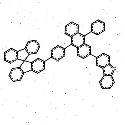 c1ccc(-c2c3ccccc3c(-c3ccc(-c4ccc5c(c4)C4(c6ccccc6-c6ccccc64)c4ccccc4-5)nc3)c3ccc(-c4ccc5oc6ccccc6c5c4)cc23)cc1